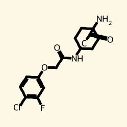 NC12CCC(NC(=O)COc3ccc(Cl)c(F)c3)(CC1)CC2=O